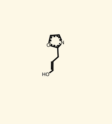 OC=CCc1ncco1